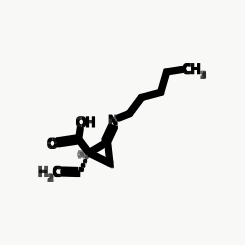 C=C[C@@]1(C(=O)O)CC1=NCCCCC